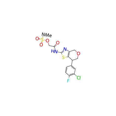 CNS(=O)(=O)OCC(=O)Nc1nc2c(s1)C(c1ccc(F)c(Cl)c1)COC2